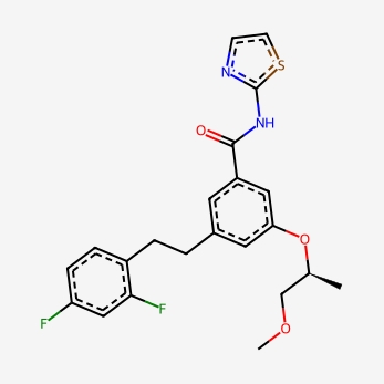 COC[C@H](C)Oc1cc(CCc2ccc(F)cc2F)cc(C(=O)Nc2nccs2)c1